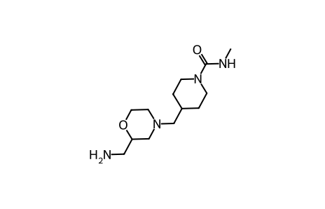 CNC(=O)N1CCC(CN2CCOC(CN)C2)CC1